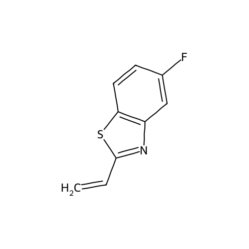 C=Cc1nc2cc(F)ccc2s1